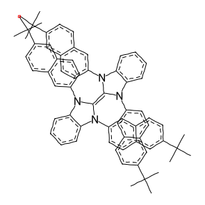 CC(C)(C)c1ccc2cc(N3C(=C4N(c5ccc6cc(C(C)(C)C)ccc6c5)c5ccccc5N4c4ccc5cc(C(C)(C)C)ccc5c4)N(c4ccc5cc(C(C)(C)C)ccc5c4)c4ccccc43)ccc2c1